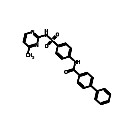 Cc1ccnc(NS(=O)(=O)c2ccc(NC(=O)c3ccc(-c4ccccc4)cc3)cc2)n1